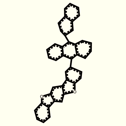 c1ccc2cc(-c3c4ccccc4c(-c4ccc5oc6cc7c(cc6c5c4)oc4ccccc47)c4ccccc34)ccc2c1